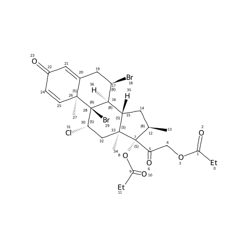 CCC(=O)OCC(=O)[C@]1(OC(=O)CC)[C@H](C)C[C@H]2[C@@H]3[C@H](Br)CC4=CC(=O)C=C[C@]4(C)[C@@]3(Br)[C@@H](Cl)C[C@@]21C